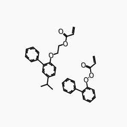 C=CC(=O)OCCOc1ccc(C(C)C)cc1-c1ccccc1.C=CC(=O)OOc1ccccc1-c1ccccc1